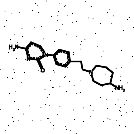 Nc1ccn(-c2ccc(CCN3CCCC(N)CC3)cc2)c(=O)n1